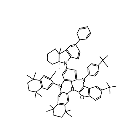 Cc1cc2c(cc1N1c3cc4c(cc3B3c5oc6ccc(C(C)(C)C)cc6c5N(c5ccc(C(C)(C)C)cc5)c5cc(N6c7ccc(C8C=CC=CC8)cc7C7(C)CCCC[C@]67C)cc1c53)C(C)(C)CCC4(C)C)C(C)(C)CCC2(C)C